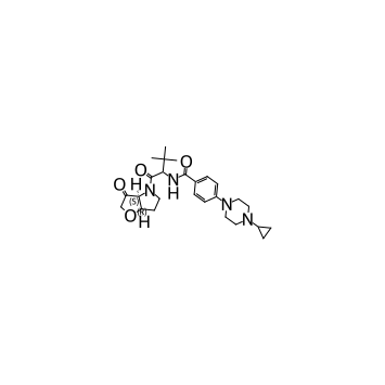 CC(C)(C)C(NC(=O)c1ccc(N2CCN(C3CC3)CC2)cc1)C(=O)N1CC[C@H]2OCC(=O)[C@H]21